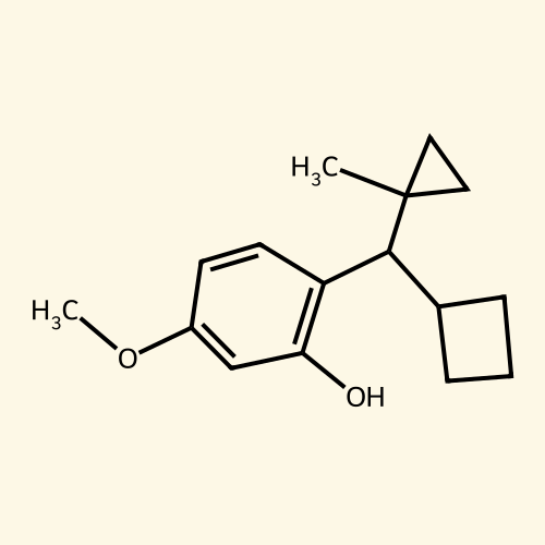 COc1ccc(C(C2CCC2)C2(C)CC2)c(O)c1